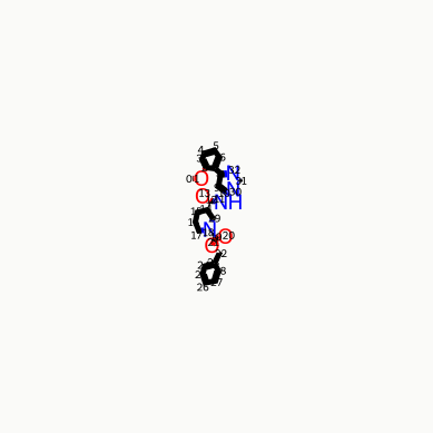 COc1ccccc1-c1cc(NC(=O)[C@H]2CCCN(C(=O)OCc3ccccc3)C2)ncn1